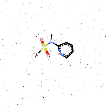 CN(c1ccccn1)S(=O)(=O)C(F)(F)F